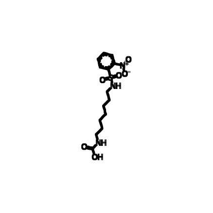 O=C(O)NCCCCCCCNS(=O)(=O)c1ccccc1[N+](=O)[O-]